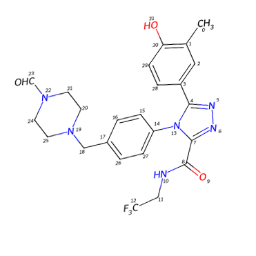 Cc1cc(-c2nnc(C(=O)NCC(F)(F)F)n2-c2ccc(CN3CCN(C=O)CC3)cc2)ccc1O